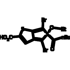 CCCCC(=O)S1(OCC)C(Br)=c2cc(C(=O)O)sc2=C1Br